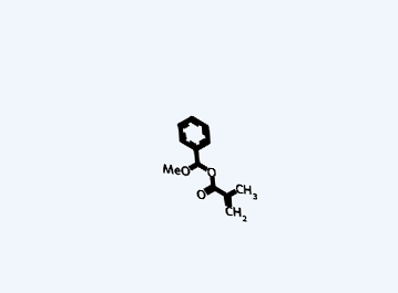 C=C(C)C(=O)OC(OC)c1ccccc1